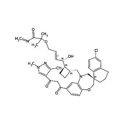 C=NC(=O)C(C)(C)OC/C=C/[C@H](O)[C@@H]1CC[C@H]1CN1C[C@@]2(CCCc3cc(Cl)ccc32)COc2ccc(C(=O)CC(=O)c3cn(C)nc3C)cc21